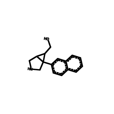 OCC1C2CNCC12c1ccc2ccccc2c1